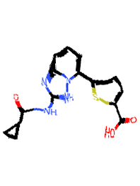 O=C(O)c1ccc(C2=CC=CC3=NC(NC(=O)C4CC4)NN23)s1